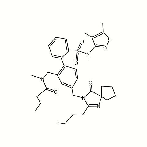 CCCCC1=NC2(CCCC2)C(=O)N1Cc1ccc(-c2ccccc2S(=O)(=O)Nc2noc(C)c2C)c(CN(C)C(=O)CCC)c1